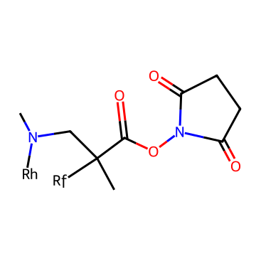 C[N]([Rh])C[C](C)([Rf])C(=O)ON1C(=O)CCC1=O